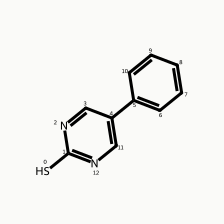 Sc1ncc(-c2ccccc2)cn1